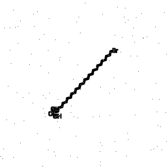 O=P(O)(O)CCCCCCCCCCCCCCCCCCCCCCCCCCBr